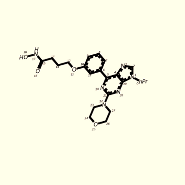 CCCn1cnc2c(-c3cccc(OCCCC(=O)NO)c3)nc(N3CCOCC3)nc21